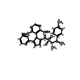 COc1ncnc(OC)c1-n1c(NS(=O)(=O)[C@@H](C)[C@H](C)c2cnc(C)cn2)nnc1-c1cccnc1